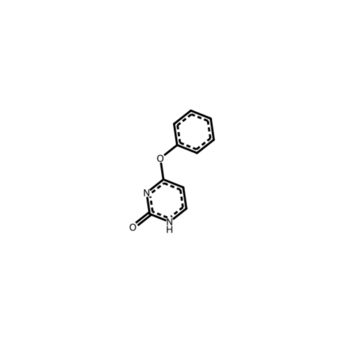 O=c1nc(Oc2ccccc2)cc[nH]1